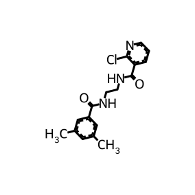 Cc1cc(C)cc(C(=O)NCCNC(=O)c2cccnc2Cl)c1